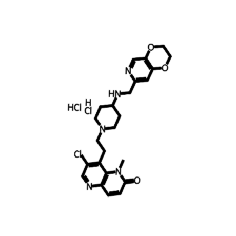 Cl.Cl.Cn1c(=O)ccc2ncc(Cl)c(CCN3CCC(NCc4cc5c(cn4)OCCO5)CC3)c21